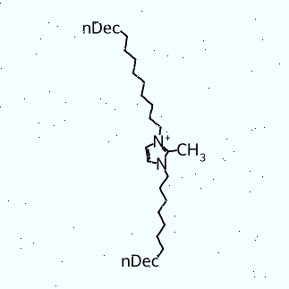 CCCCCCCCCCCCCCCCCCC[n+]1ccn(CCCCCCCCCCCCCCCCC)c1C